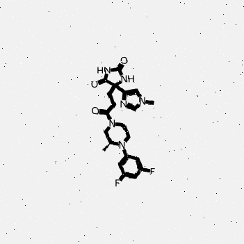 C[C@H]1CN(C(=O)CCC2(c3cn(C)cn3)NC(=O)NC2=O)CCN1c1cc(F)cc(F)c1